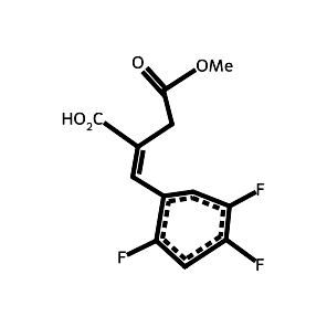 COC(=O)CC(=Cc1cc(F)c(F)cc1F)C(=O)O